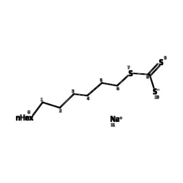 CCCCCCCCCCCCSC(=S)[S-].[Na+]